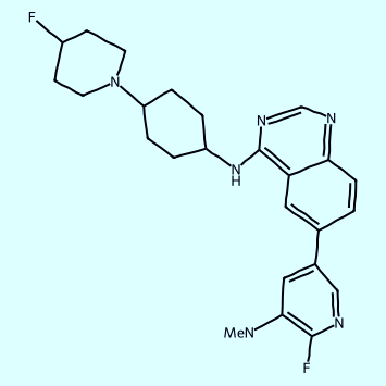 CNc1cc(-c2ccc3ncnc(NC4CCC(N5CCC(F)CC5)CC4)c3c2)cnc1F